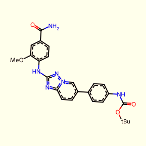 COc1cc(C(N)=O)ccc1Nc1nc2ccc(-c3ccc(NC(=O)OC(C)(C)C)cc3)cn2n1